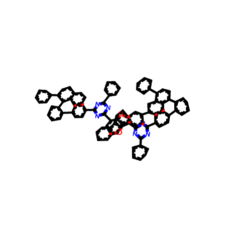 c1ccc(-c2nc(-c3ccc(-c4ccccc4-c4ccc(-c5ccccc5)c5cc(-c6ccc7c(c6)oc6c(-c8nc(-c9ccccc9)nc(-c9ccc(-c%10ccccc%10-c%10c(-c%11ccccc%11)ccc%11ccccc%10%11)cc9)n8)cccc67)ccc45)cc3)nc(-c3cccc4c3oc3ccccc34)n2)cc1